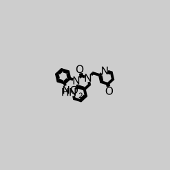 O=C1C=C(CN2CC3=C(NCC=C3)N(c3ccccc3[N+](=O)[O-])C2=O)N=CC1